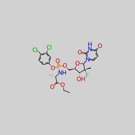 CCOC(=O)[C@H](C)NP(=O)(OC[C@H]1O[C@@H](n2ccc(=O)[nH]c2=O)[C@](C)(F)[C@@H]1O)Oc1ccc(Cl)c(Cl)c1